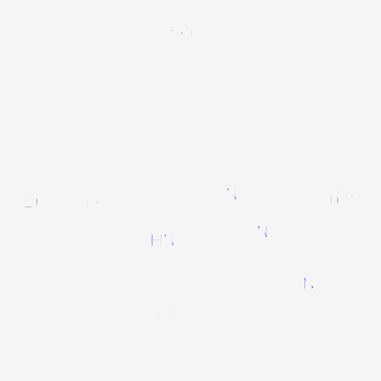 CCCc1nc(C)c2n1N=C(c1cc(S(=O)(=O)O)ccc1OCC)NC2S